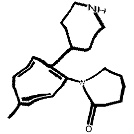 Cc1ccc(C2CCNCC2)c(N2CCCC2=O)c1